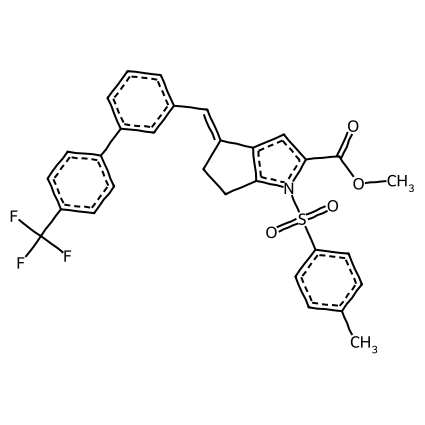 COC(=O)c1cc2c(n1S(=O)(=O)c1ccc(C)cc1)CC/C2=C\c1cccc(-c2ccc(C(F)(F)F)cc2)c1